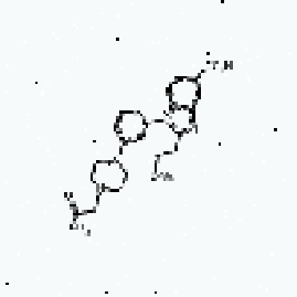 COCCc1nc2cc(C(=O)O)ccc2n1-c1cccc(N2CCN(CC(N)=O)CC2)c1